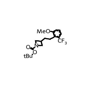 COc1cccc(C(F)(F)F)c1CCC1CN(C(=O)OC(C)(C)C)C1